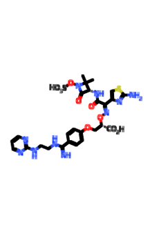 CC1(C)[C@H](NC(=O)C(=NO[C@@H](COc2ccc(C(=N)NCCNc3ncccn3)cc2)C(=O)O)c2csc(N)n2)C(=O)N1OS(=O)(=O)O